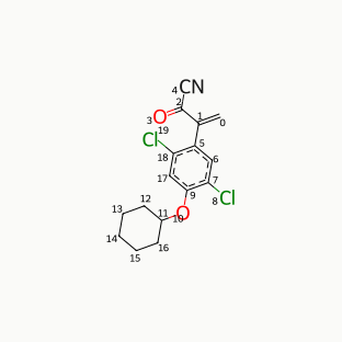 C=C(C(=O)C#N)c1cc(Cl)c(OC2CCCCC2)cc1Cl